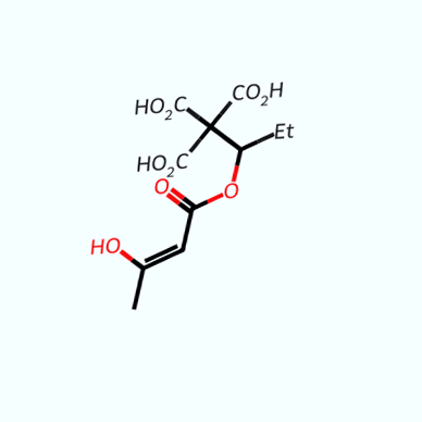 [CH2]CC(OC(=O)C=C(C)O)C(C(=O)O)(C(=O)O)C(=O)O